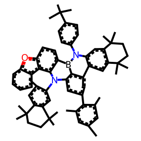 Cc1cc(C)c(-c2cc3c4c(c2)N(c2cc5c(cc2C)C(C)(C)CCC5(C)C)c2c(ccc5oc6ccccc6c25)B4N(c2ccc(C(C)(C)C)cc2)c2cc4c(cc2-3)C(C)(C)CCC4(C)C)c(C)c1